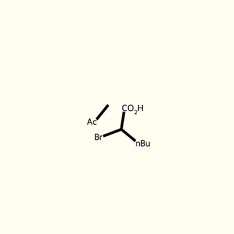 CC(C)=O.CCCCC(Br)C(=O)O